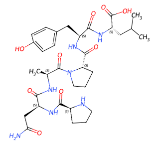 CC(C)C[C@H](NC(=O)[C@H](Cc1ccc(O)cc1)NC(=O)[C@@H]1CCCN1C(=O)[C@H](C)NC(=O)[C@H](CC(N)=O)NC(=O)[C@@H]1CCCN1)C(=O)O